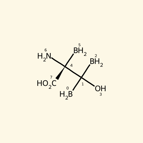 BC(B)(O)[C@@](B)(N)C(=O)O